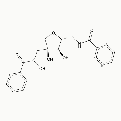 O=C(NC[C@H]1OC[C@@](O)(CN(O)C(=O)c2ccccc2)[C@@H]1O)c1cnccn1